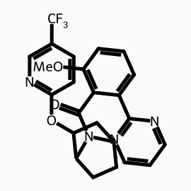 COc1cccc(-c2ncccn2)c1C(=O)N1C2CCC1C(Oc1ccc(C(F)(F)F)cn1)C2